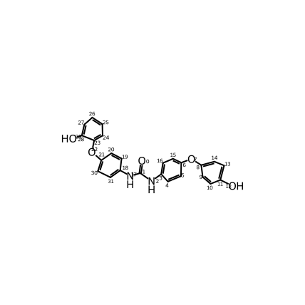 O=C(Nc1ccc(Oc2ccc(O)cc2)cc1)Nc1ccc(Oc2ccccc2O)cc1